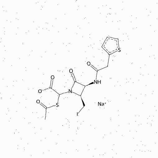 CC(=O)SC(C(=O)[O-])N1C(=O)[C@@H](NC(=O)Cc2cccs2)[C@H]1CI.[Na+]